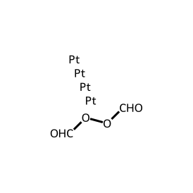 O=COOC=O.[Pt].[Pt].[Pt].[Pt]